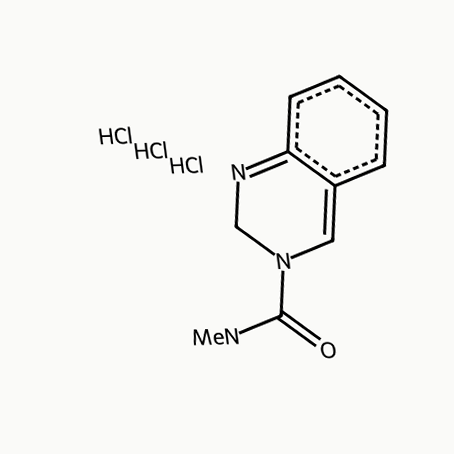 CNC(=O)N1C=c2ccccc2=NC1.Cl.Cl.Cl